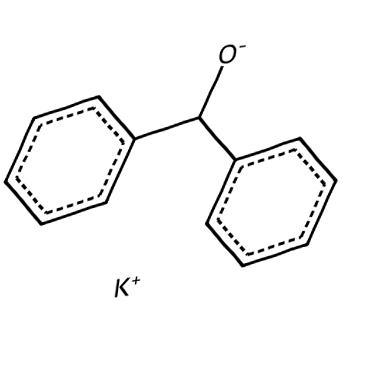 [K+].[O-]C(c1ccccc1)c1ccccc1